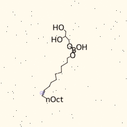 CCCCCCCC/C=C\CCCCCCCCOB(O)OCC(O)CO